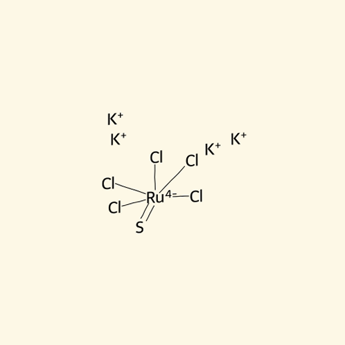 [K+].[K+].[K+].[K+].[S]=[Ru-4]([Cl])([Cl])([Cl])([Cl])[Cl]